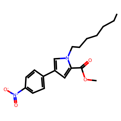 CCCCCCCn1cc(-c2ccc([N+](=O)[O-])cc2)cc1C(=O)OC